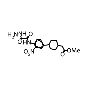 COC(=O)CC1CCC(c2ccc(NC(=O)C(=O)NN)c([N+](=O)[O-])c2)CC1